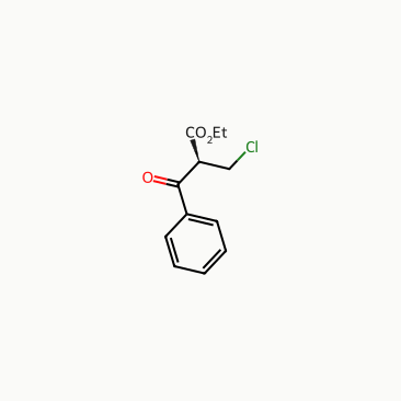 CCOC(=O)[C@@H](CCl)C(=O)c1ccccc1